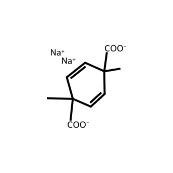 CC1(C(=O)[O-])C=CC(C)(C(=O)[O-])C=C1.[Na+].[Na+]